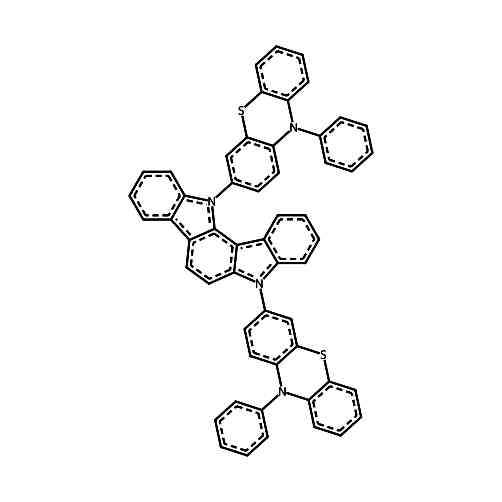 c1ccc(N2c3ccccc3Sc3cc(-n4c5ccccc5c5c4ccc4c6ccccc6n(-c6ccc7c(c6)Sc6ccccc6N7c6ccccc6)c45)ccc32)cc1